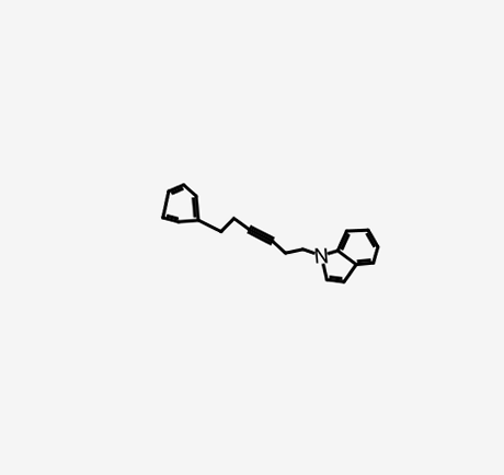 C(#CCCn1ccc2ccccc21)CCc1ccccc1